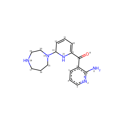 Nc1ncccc1C(=O)C1=CC=CC(N2CCCNCC2)N1